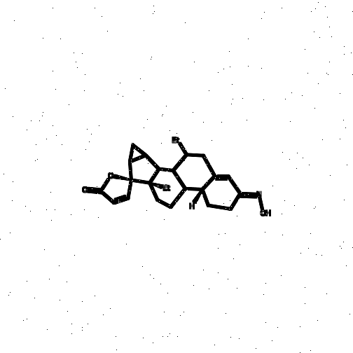 CCC1CC2=C/C(=N/O)CC[C@@H]2C2CC[C@@]3(CC)C(C4CC4[C@@]34C=CC(=O)O4)C12